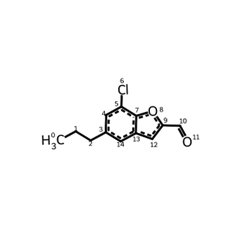 CCCc1cc(Cl)c2oc(C=O)cc2c1